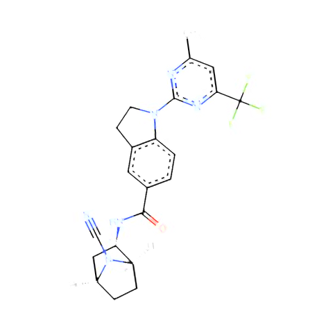 Cc1cc(C(F)(F)F)nc(N2CCc3cc(C(=O)N[C@@H]4C[C@@H]5CC[C@H]4N5C#N)ccc32)n1